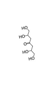 O=C(CC(O)CO)CC(O)CO